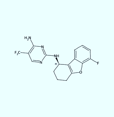 Nc1nc(N[C@@H]2CCCc3oc4c(F)cccc4c32)ncc1C(F)(F)F